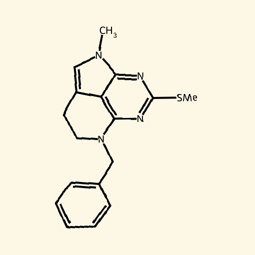 CSc1nc2c3c(cn(C)c3n1)CCN2Cc1ccccc1